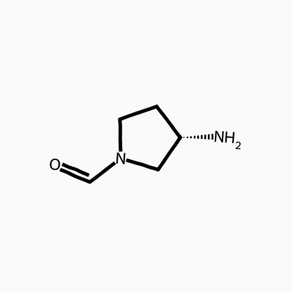 N[C@H]1CCN(C=O)C1